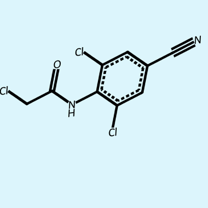 N#Cc1cc(Cl)c(NC(=O)CCl)c(Cl)c1